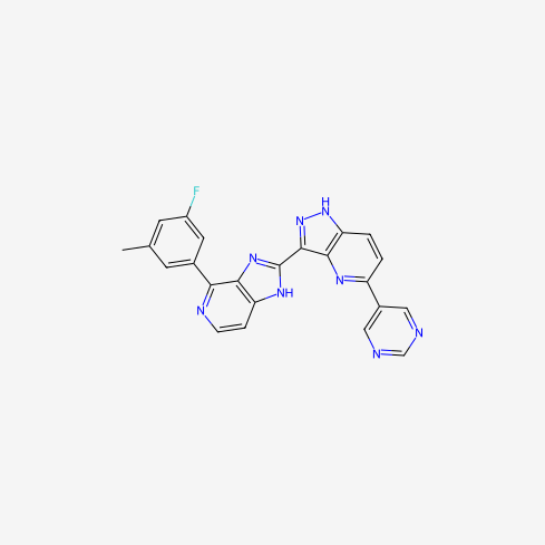 Cc1cc(F)cc(-c2nccc3[nH]c(-c4n[nH]c5ccc(-c6cncnc6)nc45)nc23)c1